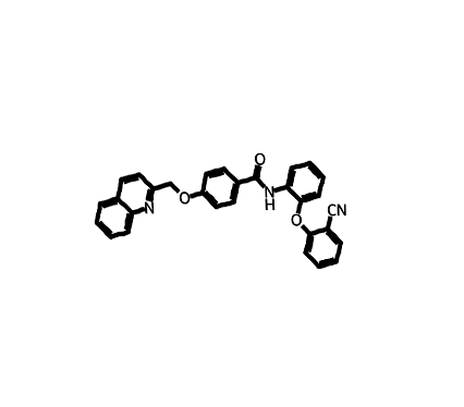 N#Cc1ccccc1Oc1ccccc1NC(=O)c1ccc(OCc2ccc3ccccc3n2)cc1